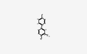 Cc1[c]cc(-c2ccc(F)c(F)c2)cc1